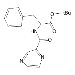 CC(C)(C)OC(=O)C(Cc1ccccc1)NC(=O)c1cnccn1